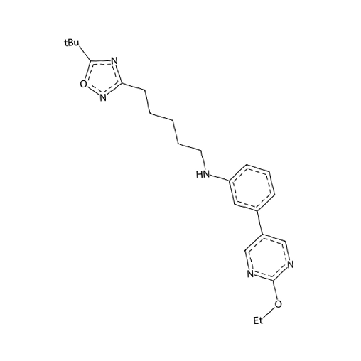 CCOc1ncc(-c2cccc(NCCCCCc3noc(C(C)(C)C)n3)c2)cn1